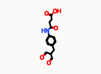 O=CC(C=O)Cc1ccc(NC(=O)CCC(=O)O)cc1